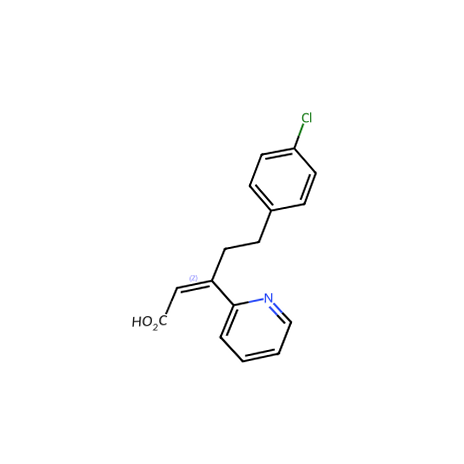 O=C(O)/C=C(/CCc1ccc(Cl)cc1)c1ccccn1